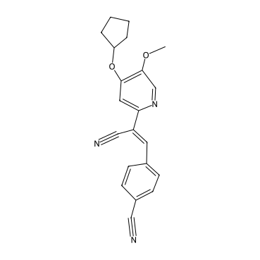 COc1cnc(/C(C#N)=C/c2ccc(C#N)cc2)cc1OC1CCCC1